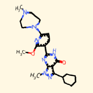 COc1nc(N2CCN(C)CC2)ccc1-c1nc2c(c(C3CCCCC3)nn2C)c(=O)[nH]1